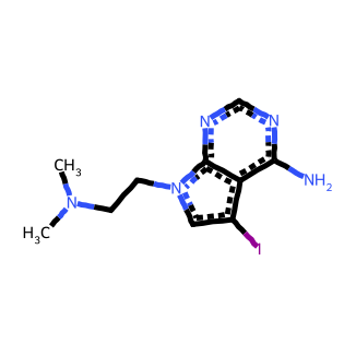 CN(C)CCn1cc(I)c2c(N)ncnc21